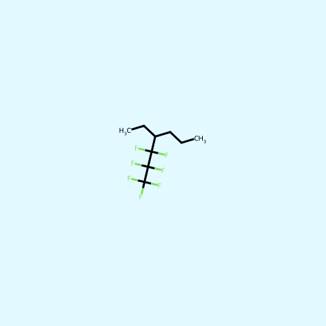 CCCC(CC)C(F)(F)C(F)(F)C(F)(F)F